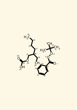 CC(C)(C)OOC(=O)c1ccccc1.CCCCC(CC)COC(=O)O